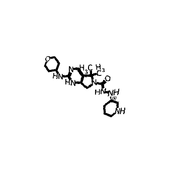 CC1(C)C2=CN=C(NC3CCOCC3)NC2CN1C(=O)NN[C@H]1CCCNC1